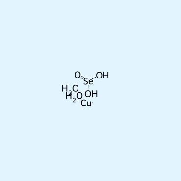 O.O.O=[Se](O)O.[Cu]